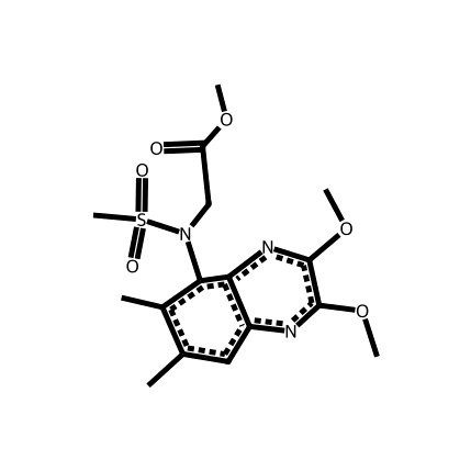 COC(=O)CN(c1c(C)c(C)cc2nc(OC)c(OC)nc12)S(C)(=O)=O